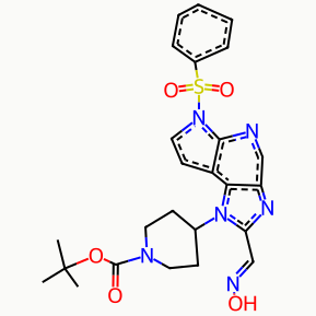 CC(C)(C)OC(=O)N1CCC(n2c(C=NO)nc3cnc4c(ccn4S(=O)(=O)c4ccccc4)c32)CC1